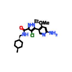 CCn1nc(C(=O)NC[C@H]2CC[C@H](C)CC2)c(Cl)c1-c1cnc(N)cc1OC